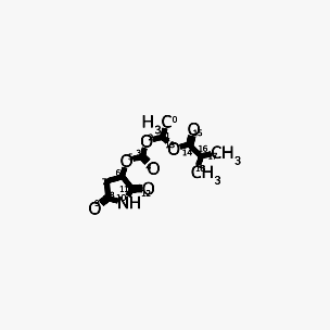 CC(OC(=O)OC1CC(=O)NC1=O)OC(=O)C(C)C